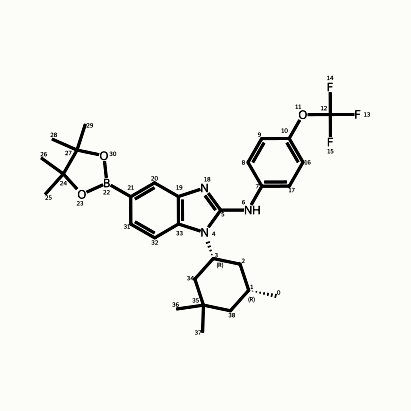 C[C@H]1C[C@@H](n2c(Nc3ccc(OC(F)(F)F)cc3)nc3cc(B4OC(C)(C)C(C)(C)O4)ccc32)CC(C)(C)C1